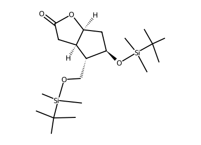 CC(C)(C)[Si](C)(C)OC[C@@H]1[C@H]2CC(=O)O[C@H]2C[C@H]1O[Si](C)(C)C(C)(C)C